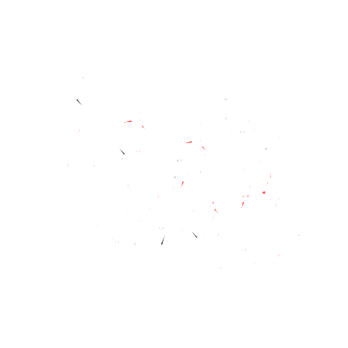 CC(=O)OCC1O[C@@H](O[C@@H]2C(C)[C@H](C(C)C)OC(COC(C)=O)[C@@H]2C)C(C)[C@@H](O[C@@H]2OC(C)[C@@H](OC(C)=O)[C@@H](OC(C)=O)C2OC(C)=O)[C@@H]1O[C@@H]1OC(COC(C)=O)[C@H](C)[C@H](C)C1O[C@@H]1OC(C)[C@@H](C)C(OC(C)=O)[C@@H]1OC(C)=O